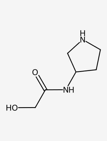 O=C(CO)NC1CCNC1